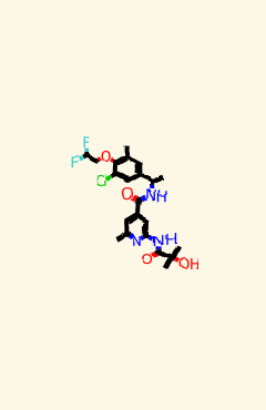 Cc1cc(C(=O)NC(C)c2cc(C)c(OCC(F)F)c(Cl)c2)cc(NC(=O)C(C)(C)O)n1